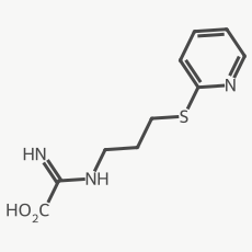 N=C(NCCCSc1ccccn1)C(=O)O